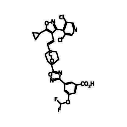 O=C(O)c1cc(OC(F)F)cc(-c2noc(C34CCC(/C=C/c5c(-c6c(Cl)cncc6Cl)noc5C5CC5)(CC3)CO4)n2)c1